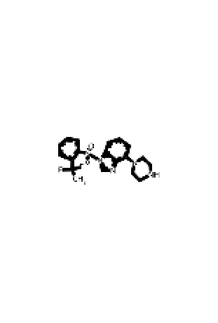 CC(F)(F)c1ccccc1S(=O)(=O)n1cnc2c(N3CCNCC3)cccc21